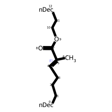 CCCCCCCCCCCCC/C=C(\C)C(=O)OCCCCCCCCCCCC